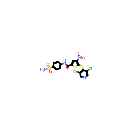 NS(=O)(=O)c1ccc(NC(=O)c2cc([N+](=O)[O-])c(Sc3c(Cl)cncc3Cl)s2)cc1